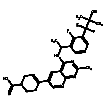 Cc1nc(NC(C)c2cccc(C(F)(F)C(C)(C)O)c2F)c2cc(C3=CCN(C(=O)O)CC3)cnc2n1